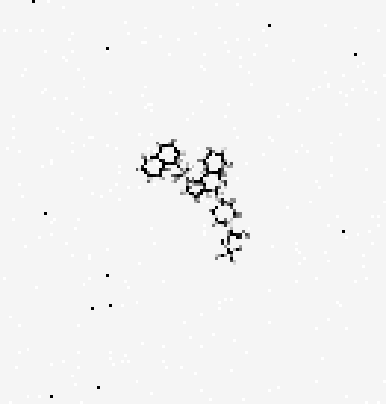 CC(C)(C)OC(=O)N1CCN(c2nc3ccccc3c3c2ccn3S(=O)(=O)c2cccc3ccccc23)CC1